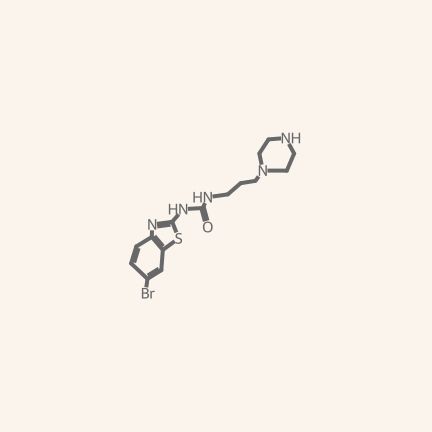 O=C(NCCCN1CCNCC1)Nc1nc2ccc(Br)cc2s1